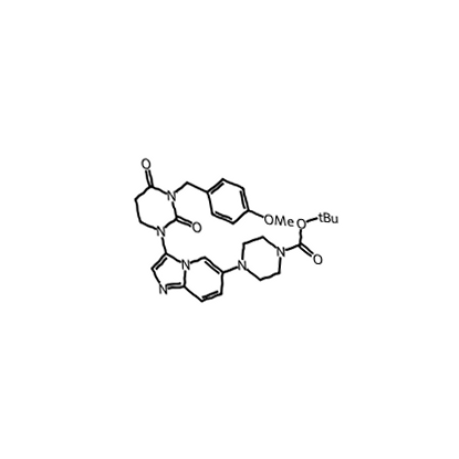 COc1ccc(CN2C(=O)CCN(c3cnc4ccc(N5CCN(C(=O)OC(C)(C)C)CC5)cn34)C2=O)cc1